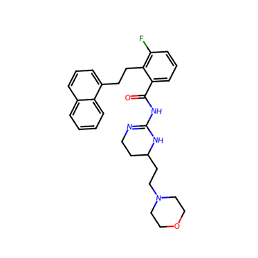 O=C(NC1=NCCC(CCN2CCOCC2)N1)c1cccc(F)c1CCc1cccc2ccccc12